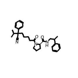 CC(CNC(=O)[C@H]1CCCN1C(=O)CCCCC(C#N)(c1ccccc1)C(C)C)c1ccccc1